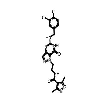 Cc1noc(C)c1C(=O)NCCn1ncc2nc(NCc3ccc(Cl)c(Cl)c3)[nH]c(=O)c21